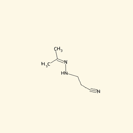 CC(C)=NNCCC#N